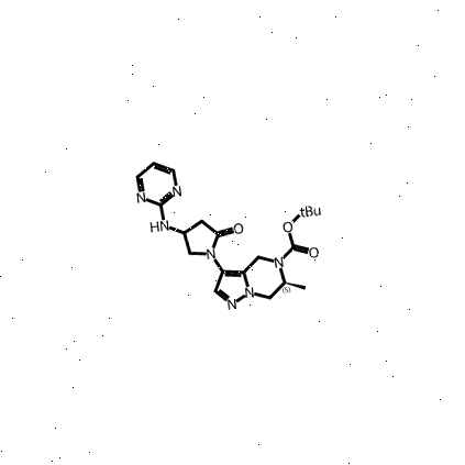 C[C@H]1Cn2ncc(N3CC(Nc4ncccn4)CC3=O)c2CN1C(=O)OC(C)(C)C